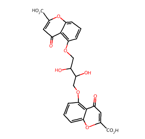 O=C(O)c1cc(=O)c2c(OCC(O)C(O)COc3cccc4oc(C(=O)O)cc(=O)c34)cccc2o1